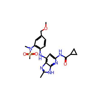 COCc1ccc(Nc2cc(NC(=O)C3CC3)nc3[nH]c(C)nc23)c(N(C)S(C)(=O)=O)c1